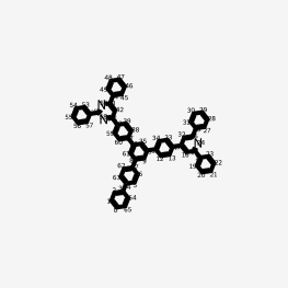 c1ccc(-c2ccc(-c3cc(-c4ccc(-c5cc(-c6ccccc6)nc(-c6ccccc6)c5)cc4)cc(-c4ccc(-c5cc(-c6ccccc6)nc(-c6ccccc6)n5)cc4)c3)cc2)cc1